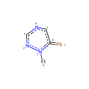 CCn1ncncc1=S